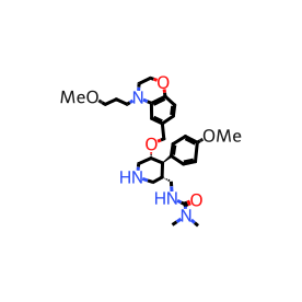 COCCCN1CCOc2ccc(CO[C@H]3CNC[C@@H](CNC(=O)N(C)C)[C@@H]3c3ccc(OC)cc3)cc21